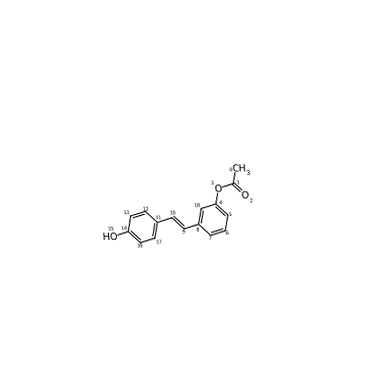 CC(=O)Oc1cccc(C=Cc2ccc(O)cc2)c1